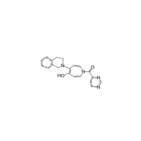 O=C(c1ccncn1)N1C=CC(O)=C(N2CCc3ccccc3C2)C=C1